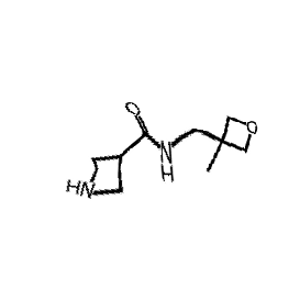 CC1(CNC(=O)C2CNC2)COC1